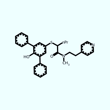 CCCC(Sc1cc(-c2ccccc2)c(O)c(-c2ccccc2)c1)C(=O)N(C)CCc1ccncc1